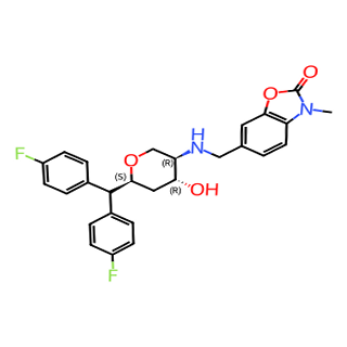 Cn1c(=O)oc2cc(CN[C@@H]3CO[C@H](C(c4ccc(F)cc4)c4ccc(F)cc4)C[C@H]3O)ccc21